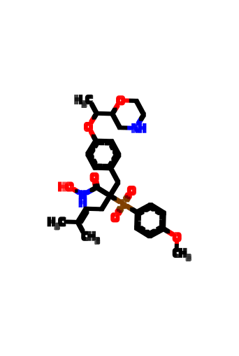 COc1ccc(S(=O)(=O)C(CC=C(C)C)(Cc2ccc(OC(C)C3CNCCO3)cc2)C(=O)NO)cc1